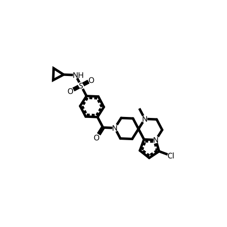 CN1CCn2c(Cl)ccc2C12CCN(C(=O)c1ccc(S(=O)(=O)NC3CC3)cc1)CC2